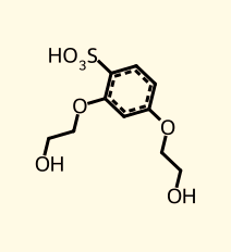 O=S(=O)(O)c1ccc(OCCO)cc1OCCO